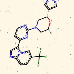 C[C@@H]1CN(c2nccc(-c3cnc4ccc(C(F)(F)F)cn34)n2)C[C@H](c2cn[nH]c2)O1